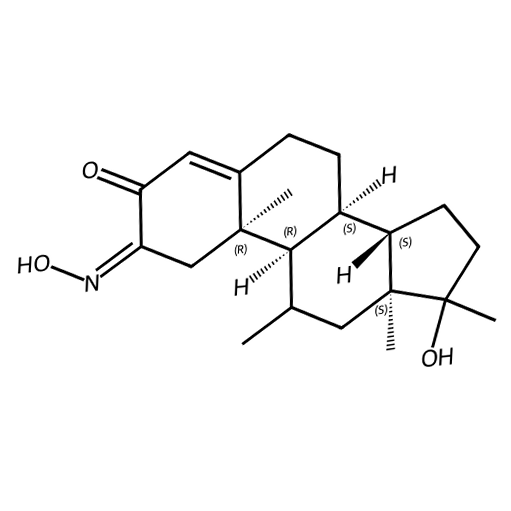 CC1C[C@@]2(C)[C@@H](CCC2(C)O)[C@@H]2CCC3=CC(=O)C(=NO)C[C@]3(C)[C@H]12